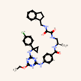 O=C(NCC1CCc2ccccc21)C(=O)NC[C@H](NC(=O)c1ccc(Nc2nc(NC3(c4ccc(Cl)cc4)CC3)nc(OCC(F)(F)F)n2)cc1)C(=O)O